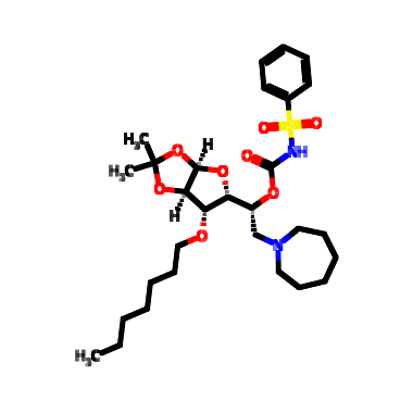 CCCCCCCO[C@@H]1[C@H]2OC(C)(C)O[C@H]2O[C@@H]1[C@@H](CN1CCCCCC1)OC(=O)NS(=O)(=O)c1ccccc1